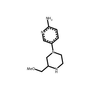 COCC1CN(c2ccc(N)nc2)CCN1